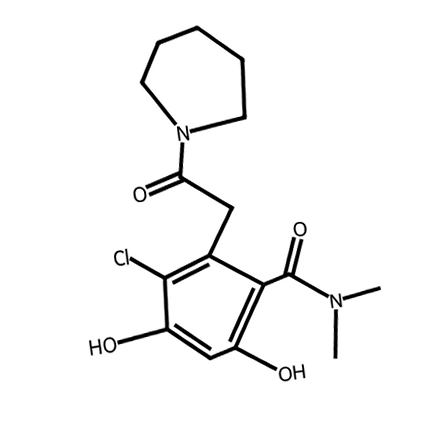 CN(C)C(=O)c1c(O)cc(O)c(Cl)c1CC(=O)N1CCCCC1